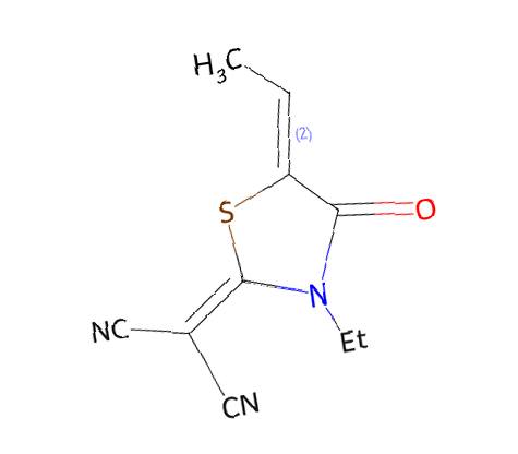 C/C=c1\sc(=C(C#N)C#N)n(CC)c1=O